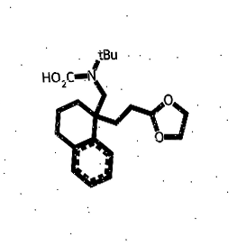 CC(C)(C)N(CC1(CCC2OCCO2)CCCc2ccccc21)C(=O)O